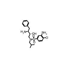 CC(C)CN(C[C@@H](O)[C@@H](N)Cc1ccccc1)S(=O)(=O)c1ccc(Cl)c(N)c1